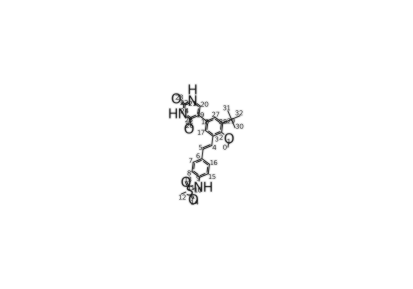 COc1c(C=Cc2ccc(NS(C)(=O)=O)cc2)cc(-c2c[nH]c(=O)[nH]c2=O)cc1C(C)(C)C